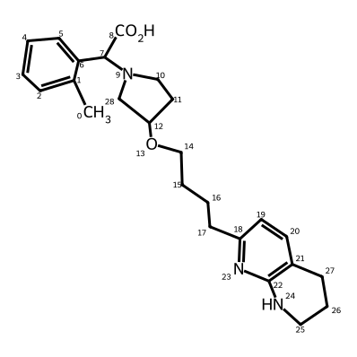 Cc1ccccc1C(C(=O)O)N1CCC(OCCCCc2ccc3c(n2)NCCC3)C1